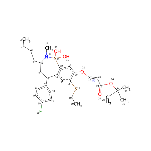 CCCCC1CC(c2ccc(F)cc2)c2cc(SCC)c(O/C=C/C(=O)OC(C)(C)C)cc2S(O)(O)N1C